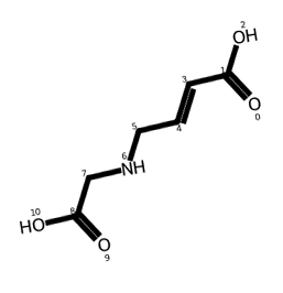 O=C(O)C=CCNCC(=O)O